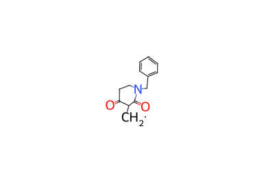 [CH2]C1C(=O)CCN(Cc2ccccc2)C1=O